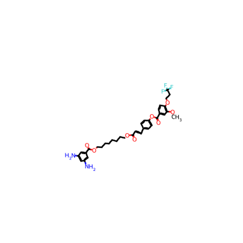 COc1cc(C(=O)Oc2ccc(C=CC(=O)OCCCCCCCCOC(=O)c3cc(N)cc(N)c3)cc2)ccc1OCCC(F)(F)F